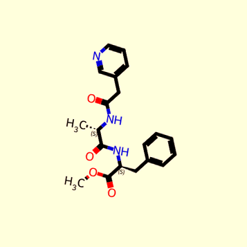 COC(=O)[C@H](Cc1ccccc1)NC(=O)[C@H](C)NC(=O)Cc1cccnc1